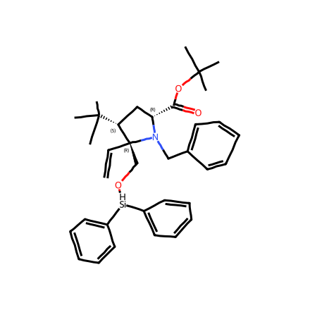 C=C[C@]1(CO[SiH](c2ccccc2)c2ccccc2)[C@H](C(C)(C)C)C[C@H](C(=O)OC(C)(C)C)N1Cc1ccccc1